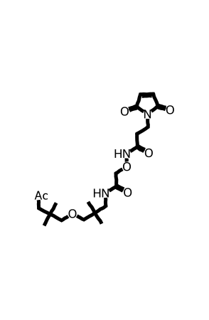 CC(=O)CC(C)(C)COCC(C)(C)CNC(=O)CONC(=O)CCN1C(=O)C=CC1=O